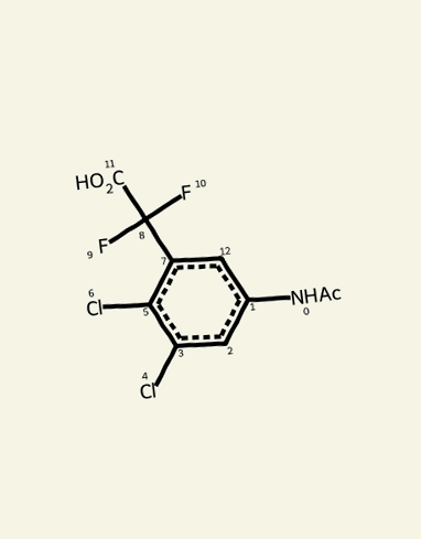 CC(=O)Nc1cc(Cl)c(Cl)c(C(F)(F)C(=O)O)c1